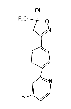 OC1(C(F)(F)F)CC(c2ccc(-c3cc(F)ccn3)cc2)=NO1